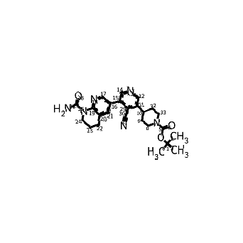 CC(C)(C)OC(=O)N1CCC(c2cncc(-c3cnc4c(c3)CCCN4C(N)=O)c2C#N)CC1